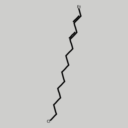 CCC=CC=CCCCCCCCCCCl